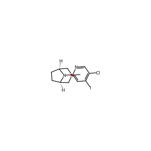 CN1C[C@H]2CC[C@@H](C1)N2c1cc(I)c(Cl)cn1